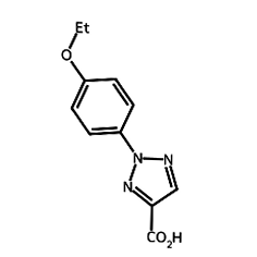 CCOc1ccc(-n2ncc(C(=O)O)n2)cc1